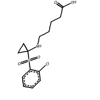 O=C(O)CCCCNC1(S(=O)(=O)c2ccccc2Cl)CC1